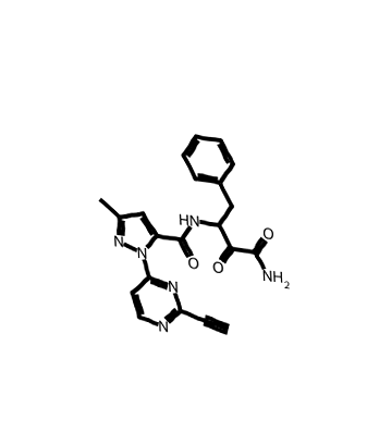 C#Cc1nccc(-n2nc(C)cc2C(=O)NC(Cc2ccccc2)C(=O)C(N)=O)n1